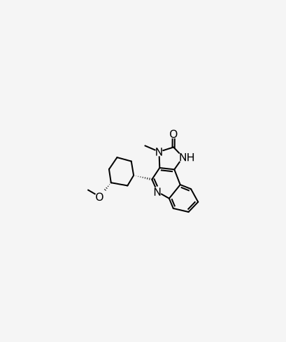 CO[C@@H]1CCC[C@H](c2nc3ccccc3c3[nH]c(=O)n(C)c23)C1